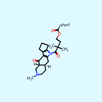 CCCCCC(=O)OCCC(C)(C)C(=O)n1c2c(c3c1C[C@H]1CCN(C)C[C@@H]1C3=O)CCC2